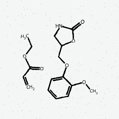 C=CC(=O)OCC.COc1ccccc1OCC1CNC(=O)O1